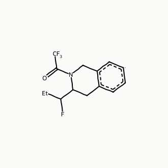 CCC(F)C1Cc2cc[c]cc2CN1C(=O)C(F)(F)F